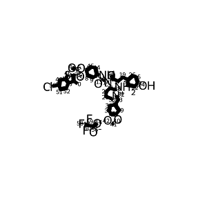 Cc1c(S(=O)(=O)Oc2ccc(NC(=O)N(C(=O)[C@@H](N)Cc3ccc(O)cc3)[C@H]3CCC[N+](C)(Cc4ccc5c(c4)OCO5)C3)cc2)sc2cc(Cl)ccc12.O=C([O-])C(F)(F)F